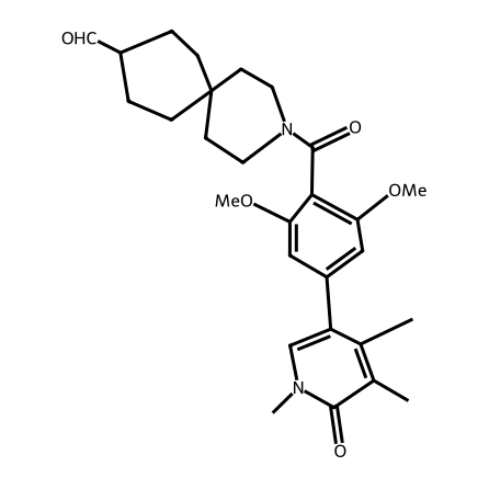 COc1cc(-c2cn(C)c(=O)c(C)c2C)cc(OC)c1C(=O)N1CCC2(CCC(C=O)CC2)CC1